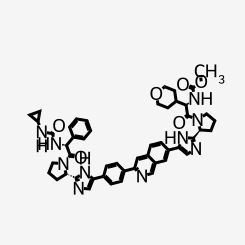 COC(=O)N[C@H](C(=O)N1CCC[C@H]1c1ncc(-c2ccc3cc(-c4ccc(-c5cnc([C@@H]6CCCN6C(=O)[C@H](NC(=O)NC6CC6)c6ccccc6)[nH]5)cc4)ncc3c2)[nH]1)C1CCOCC1